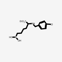 CCOC(=O)C(CCCCB(O)O)NCc1ccc(Cl)cc1